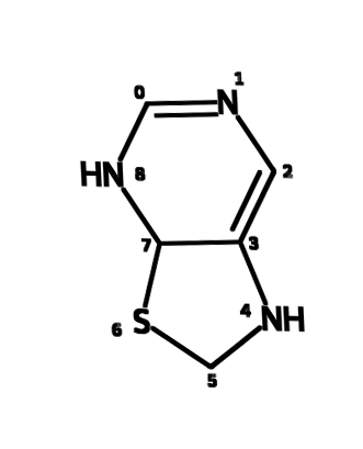 C1=NC=C2NCSC2N1